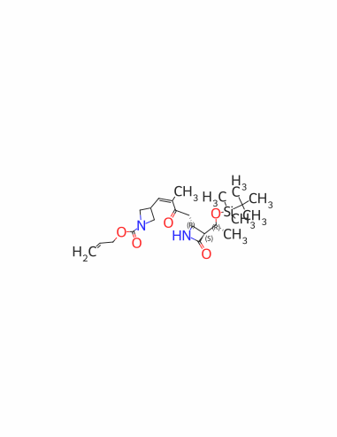 C=CCOC(=O)N1CC(C=C(C)C(=O)C[C@H]2NC(=O)[C@@H]2[C@@H](C)O[Si](C)(C)C(C)(C)C)C1